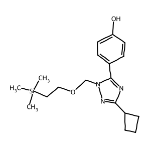 C[Si](C)(C)CCOCn1nc(C2CCC2)nc1-c1ccc(O)cc1